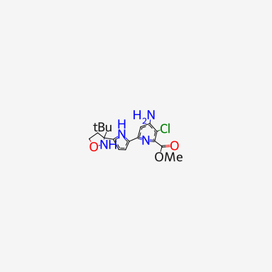 COC(=O)c1nc(-c2ccc(C3(C(C)(C)C)CCON3)[nH]2)cc(N)c1Cl